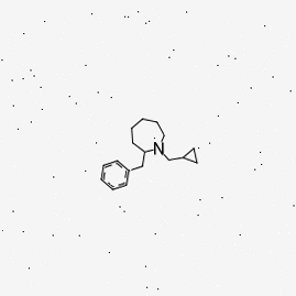 c1ccc(CC2CCCCCN2CC2CC2)cc1